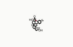 CSc1ccc2c(c1)C[C@]13CCC(=O)C[C@]1(O)CC[C@@H]1C3C2C[C@@]2(C)[C@H]1CC[C@@]2(O)/C=C\CO